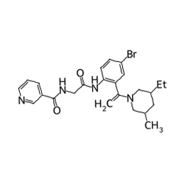 C=C(c1cc(Br)ccc1NC(=O)CNC(=O)c1cccnc1)N1CC(C)CC(CC)C1